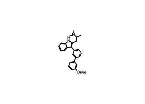 COc1cccc(-c2cncc(-c3c(CC(C)N(C)C)[nH]c4ccccc34)c2)c1